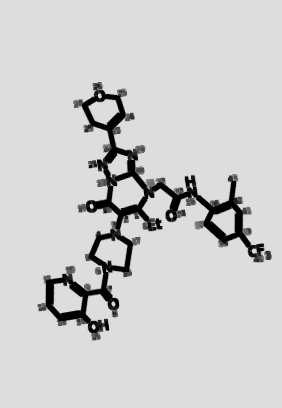 CCc1c(N2CCN(C(=O)c3ncccc3O)CC2)c(=O)n2nc(C3=CCOCC3)nc2n1CC(=O)Nc1ccc(C(F)(F)F)cc1C